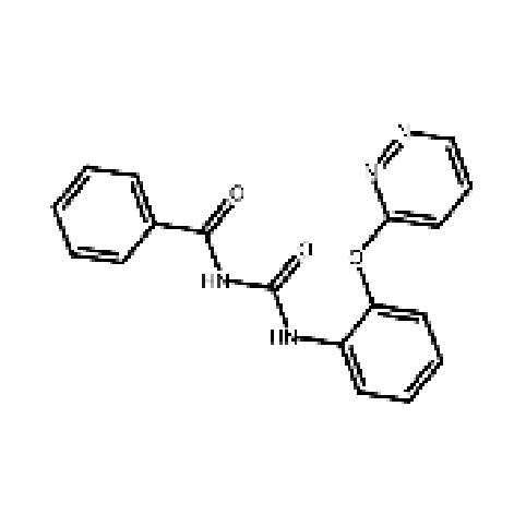 O=C(NC(=O)c1ccccc1)Nc1ccccc1Oc1cccnn1